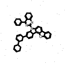 C1=CCCC(c2nc(N3c4ccc5c(oc6ccccc65)c4C4C=CC(C5C=CC=C(C6CC=CCC6)C5)=CC43)nc3c2=CCCC=3)=C1